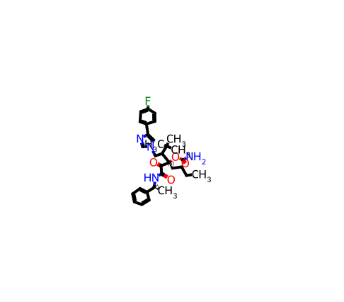 CCCC[C@@](OC(N)=O)(C(=O)C(=O)N[C@H](C)c1ccccc1)C(Cn1cnc(-c2ccc(F)cc2)c1)C(C)(C)C